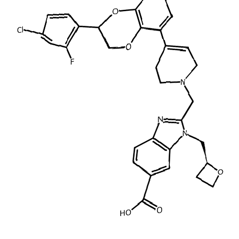 O=C(O)c1ccc2nc(CN3CC=C(c4cccc5c4OCC(c4ccc(Cl)cc4F)O5)CC3)n(C[C@@H]3CCO3)c2c1